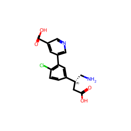 NC[C@H](CC(=O)O)c1ccc(Cl)c(-c2cncc(C(=O)O)c2)c1